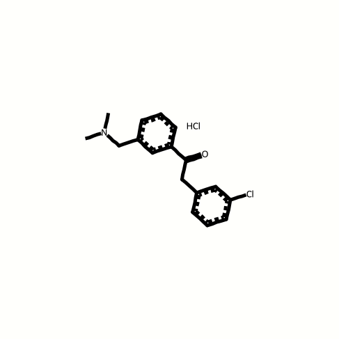 CN(C)Cc1cccc(C(=O)Cc2cccc(Cl)c2)c1.Cl